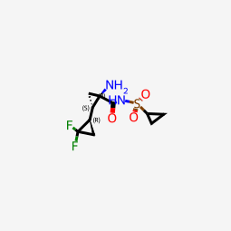 N[C@]1(C(=O)NS(=O)(=O)C2CC2)C[C@H]1[C@H]1CC1(F)F